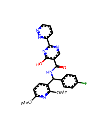 COc1ccc(C(NC(=O)c2cnc(-c3cccnn3)nc2O)c2ccc(F)cc2)c(OC)n1